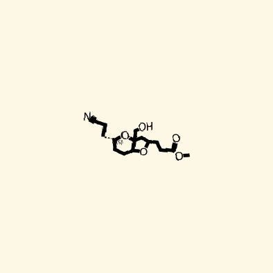 COC(=O)CCC1CC2(CO)O[C@@H](CCC#N)CCC2O1